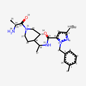 Cc1cccc(Cn2nc(C(C)(C)C)cc2C(=O)NC(C)C2CCN(C(=O)[C@H](C)N)CC2)c1